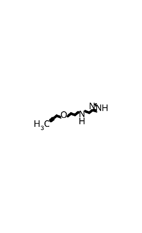 CC#CCCOCCCCNCCc1c[nH]cn1